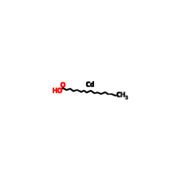 CCCCCCCCCCCCCCCCC(=O)O.[Cd]